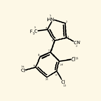 N#Cc1c[nH]c(C(F)(F)F)c1-c1cc(Cl)cc(Cl)c1Cl